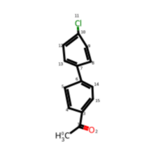 CC(=O)c1ccc(-c2ccc(Cl)cc2)cc1